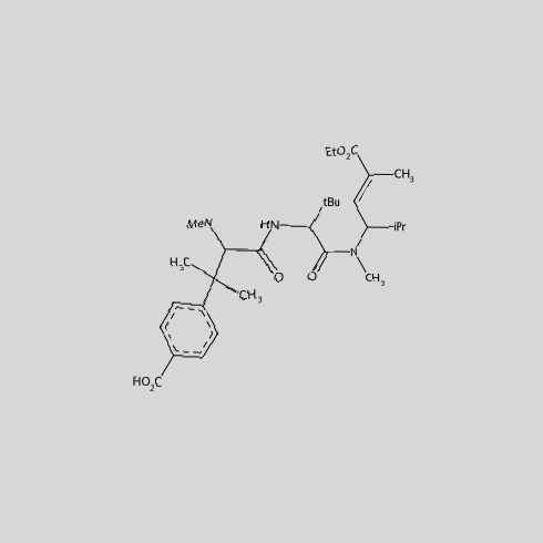 CCOC(=O)/C(C)=C/C(C(C)C)N(C)C(=O)C(NC(=O)C(NC)C(C)(C)c1ccc(C(=O)O)cc1)C(C)(C)C